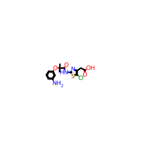 CC(C)(Oc1cccc(N)c1)C(=O)Nc1nc(CC(=O)O)c(Cl)s1